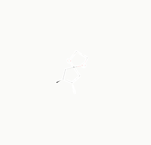 C[C@H]1CC2(C[C@@H]1C)OCCO2